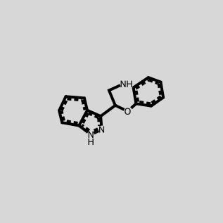 c1ccc2c(c1)NCC(c1n[nH]c3ccccc13)O2